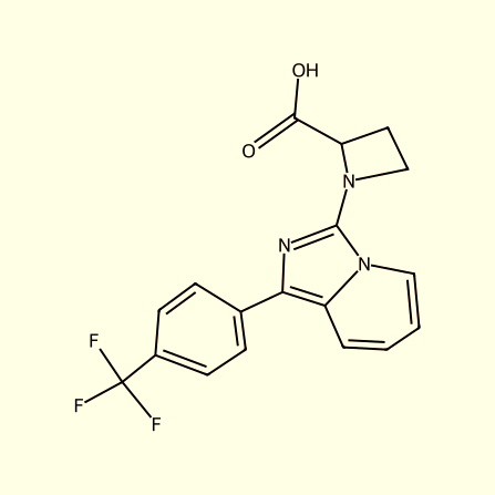 O=C(O)C1CCN1c1nc(-c2ccc(C(F)(F)F)cc2)c2ccccn12